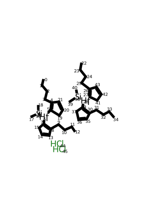 CCCCC1=[C]([Hf]([C]2=C(CCCC)C=CC2)=[Si](C)C)CC=C1.CCCCC1=[C]([Hf]([C]2=C(CCCC)C=CC2)=[Si](C)C)CC=C1.Cl.Cl